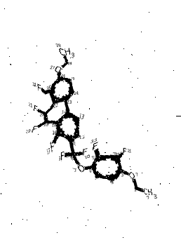 CCOc1ccc(OC(F)(F)c2ccc3c(c2F)C(F)C(F)c2c-3ccc(OCC)c2F)c(F)c1F